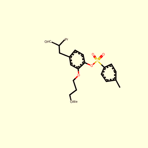 COCCCOc1cc(CC(C=O)C(C)C)ccc1OS(=O)(=O)c1ccc(C)cc1